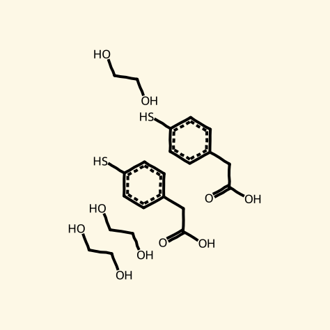 O=C(O)Cc1ccc(S)cc1.O=C(O)Cc1ccc(S)cc1.OCCO.OCCO.OCCO